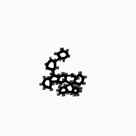 c1ccc(-c2cccc(-n3c4ccccc4c4cc5c(cc43)Sc3ccccc3C53c4ccccc4-c4ccccc43)c2)cc1